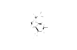 Cc1nc(N)c2ncn([C@@H](C)[SH](C)C)c2n1